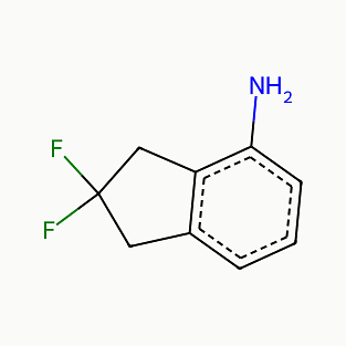 Nc1cccc2c1CC(F)(F)C2